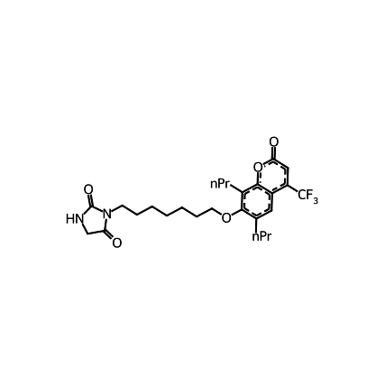 CCCc1cc2c(C(F)(F)F)cc(=O)oc2c(CCC)c1OCCCCCCCN1C(=O)CNC1=O